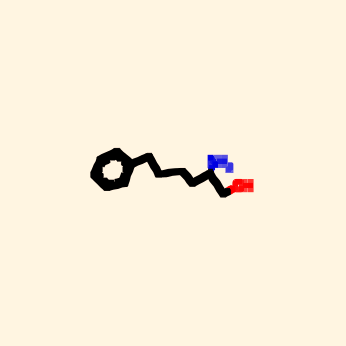 N[C@H](CO)CCCCc1ccccc1